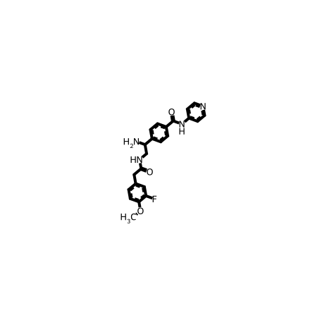 COc1ccc(CC(=O)NCC(N)c2ccc(C(=O)Nc3ccncc3)cc2)cc1F